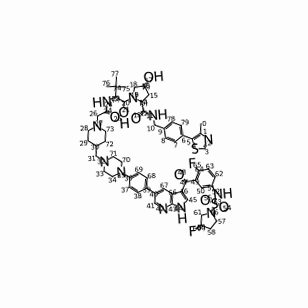 Cc1ncsc1-c1ccc(CNC(=O)[C@@H]2C[C@@H](O)CN2C(O)[C@@H](NC(=O)CN2CCC(CN3CCN(c4ccc(-c5cnc6[nH]cc(C(=O)c7cc(NS(=O)(=O)N8CC[C@@H](F)C8)ccc7F)c6c5)cc4)CC3)CC2)C(C)(C)C)cc1